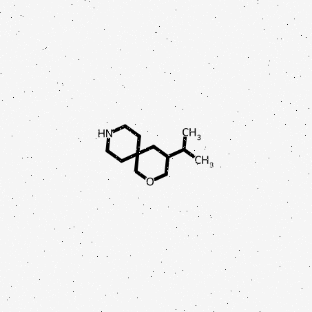 CC(C)C1COCC2(CCNCC2)C1